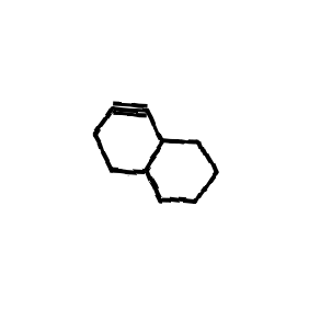 C1#CC2CCCCC2CC1